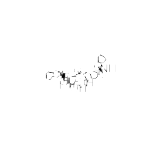 O=C(c1cc(S(=O)(=O)N2CCc3ccccc3C2)c(O)c(O)c1O)N1CCc2ccc(S(=O)(=O)Nc3ccccc3)cc2C1